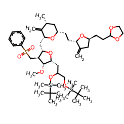 C=C1C[C@H](CCC2OCCO2)O[C@H]1CC[C@H]1C[C@@H](C)C(=C)[C@@H](C[C@@H]2O[C@H](CC(CO[Si](C)(C)C(C)(C)C)O[Si](C)(C)C(C)(C)C)[C@H](OC)[C@H]2CS(=O)(=O)c2ccccc2)O1